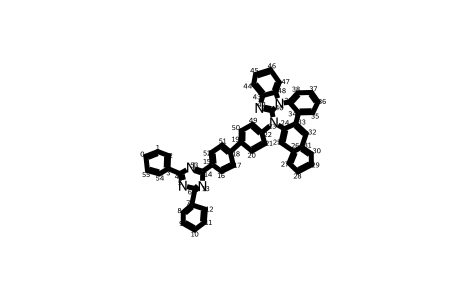 c1ccc(-c2nc(-c3ccccc3)nc(-c3ccc(-c4ccc(N5c6cc7ccccc7cc6-c6ccccc6-n6c5nc5ccccc56)cc4)cc3)n2)cc1